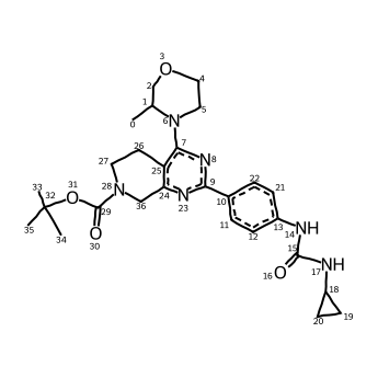 CC1COCCN1c1nc(-c2ccc(NC(=O)NC3CC3)cc2)nc2c1CCN(C(=O)OC(C)(C)C)C2